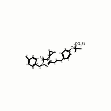 CCOC(=O)C(C)(C)Oc1ccc(CCCc2nn(Cc3ccc(C)cc3)c(=O)n2C2CC2)cc1